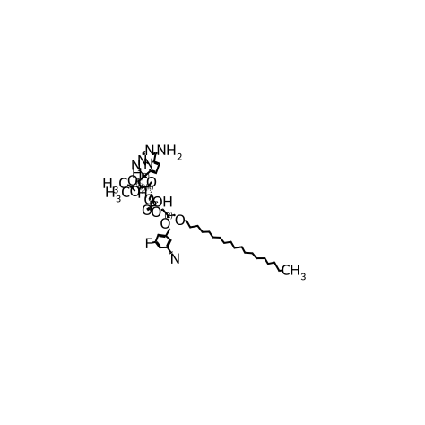 CCCCCCCCCCCCCCCCCCCOC[C@H](COP(=O)(O)OC[C@H]1O[C@@](C#N)(c2ccc3c(N)ncnn23)[C@@H]2OC(C)(C)O[C@@H]21)OCc1cc(F)cc(C#N)c1